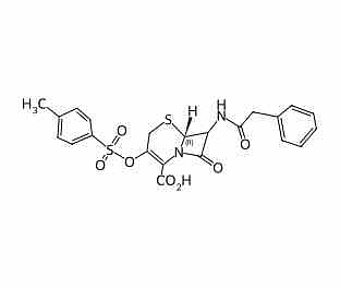 Cc1ccc(S(=O)(=O)OC2=C(C(=O)O)N3C(=O)C(NC(=O)Cc4ccccc4)[C@H]3SC2)cc1